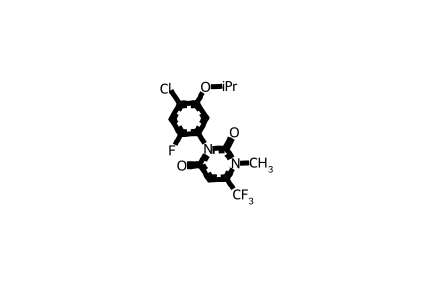 CC(C)Oc1cc(-n2c(=O)cc(C(F)(F)F)n(C)c2=O)c(F)cc1Cl